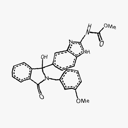 COC(=O)Nc1nc2cc(C3(O)c4ccccc4C(=O)N3c3cccc(OC)c3)ccc2[nH]1